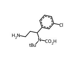 CC(C)(C)N(C(=O)O)C(CCN)c1cccc(Cl)c1